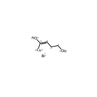 OCCC=[C](O)[Cu+].[Br-]